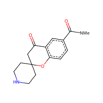 CNC(=O)c1ccc2c(c1)C(=O)CC1(CCNCC1)O2